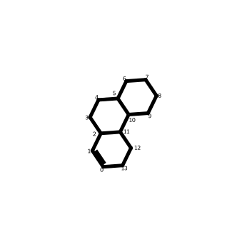 C1=CC2CCC3CCCCC3C2CC1